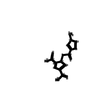 Cn1cc(C(=O)Cn2nc(C(=O)O)cc2C(=O)O)cn1